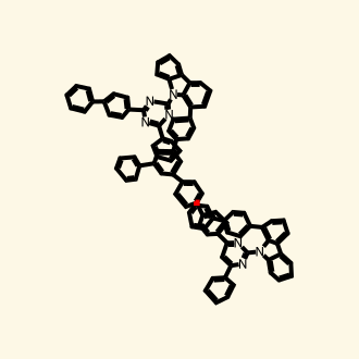 c1ccc(-c2ccc(-c3nc(-c4ccccc4)nc(-n4c5ccccc5c5cccc(-c6ccc(-c7cc(-c8ccccc8)cc(-c8ccc(-c9ccc(-c%10cc(-c%11ccccc%11)nc(-n%11c%12ccccc%12c%12cccc(-c%13ccc(-c%14ccccc%14)cc%13)c%12%11)n%10)cc9)cc8)c7)cc6)c54)n3)cc2)cc1